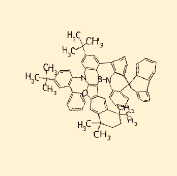 CC(C)(C)c1ccc(N2c3cc(C(C)(C)C)cc4c3B(c3c2oc2cc5c(cc32)C(C)(C)CCC5(C)C)N2c3ccccc3C3(c5ccccc5-c5ccccc53)c3cccc-4c32)c(-c2ccccc2)c1